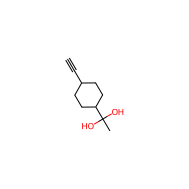 C#CC1CCC(C(C)(O)O)CC1